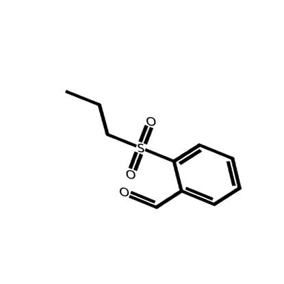 CCCS(=O)(=O)c1ccccc1C=O